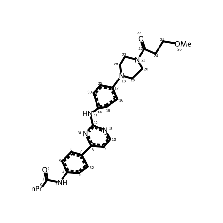 CCCC(=O)Nc1ccc(-c2ccnc(Nc3ccc(N4CCN(C(=O)CCOC)CC4)cc3)n2)cc1